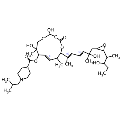 CCC(O)C(C)C1OC1CC(C)(O)/C=C/C=C(\C)C1OC(=O)CC(O)CCC(C)(O)C(OC(=O)N2CCN(CC(C)C)CC2)/C=C/C1C